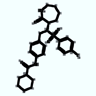 O=C(Nc1ccc(CN([C@@H]2CCCCNC2=O)S(=O)(=O)c2ccc(Cl)cc2)cc1)C1CCCCC1